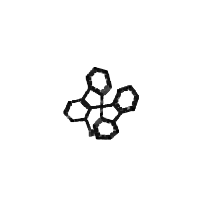 BrC1CC=CC2=C1C1(c3ccccc32)c2ccccc2-c2ccccc21